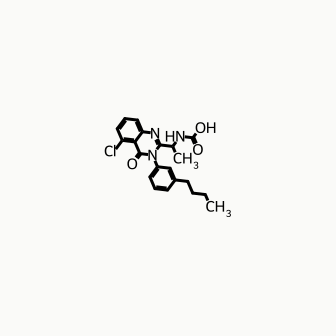 CCCCc1cccc(-n2c(C(C)NC(=O)O)nc3cccc(Cl)c3c2=O)c1